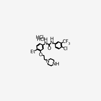 CCc1ccc(NC(=O)Nc2ccc(Cl)c(C(F)(F)F)c2)cc1OCCN1CCNCC1.Cl.Cl